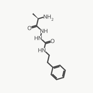 C[C@@H](N)C(=O)NNC(=O)NCCc1ccccc1